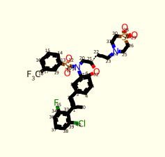 C/C(=C\c1ccc2c(c1)N(S(=O)(=O)c1cccc(C(F)(F)F)c1)C[C@H](CCN1CCS(=O)(=O)CC1)O2)c1c(F)cccc1Cl